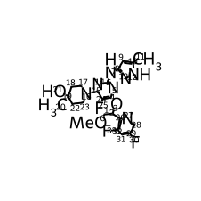 COCC(Oc1nc(Nc2cc(C)[nH]n2)nc(N2CCC(C)(O)CC2)c1F)c1ncc(F)cc1F